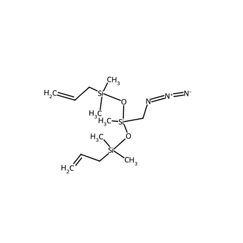 C=CC[Si](C)(C)O[Si](C)(CN=[N+]=[N-])O[Si](C)(C)CC=C